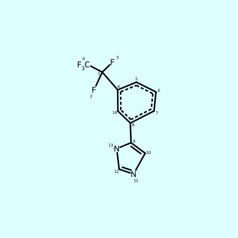 FC(F)(F)C(F)(F)c1cccc(C2=CN=C[N]2)c1